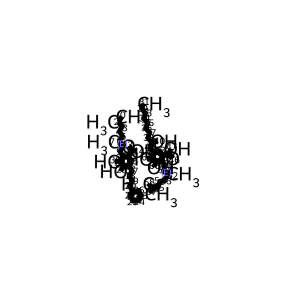 CC(C)=CCC/C(C)=C/Cc1c(C(=O)O)cc(CCCCc2ccccc2)c(O)c1O.CCCCCCCCC(O)Cc1cc(C(=O)O)c(C/C=C(\C)CCC=C(C)C)c(O)c1O